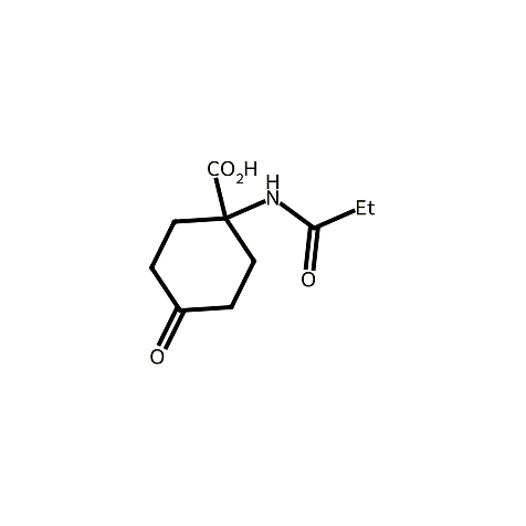 CCC(=O)NC1(C(=O)O)CCC(=O)CC1